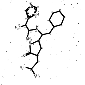 CC(C)CC1CC(C(CC2CCCCC2)NC(N)C(C)c2cnc[nH]2)OC1=O